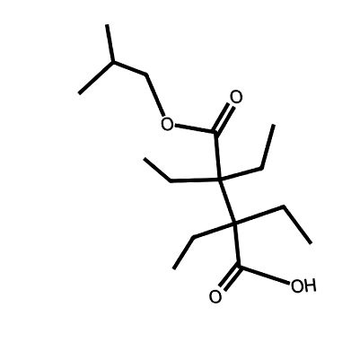 CCC(CC)(C(=O)O)C(CC)(CC)C(=O)OCC(C)C